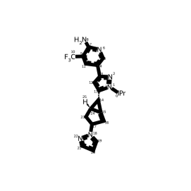 CC(C)n1nc(-c2cnc(N)c(C(F)(F)F)c2)cc1[C@@H]1C2=CC(n3cccn3)C[C@H]21